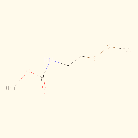 CC(C)(C)OC(=O)NCCSSC(C)(C)C